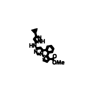 COC(=O)c1ccsc1-c1ccccc1-c1cc(Nc2cc(C3CC3)n[nH]2)ncn1